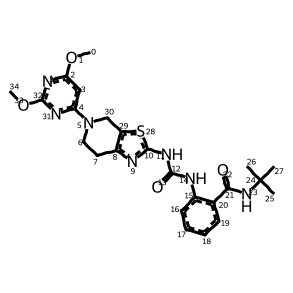 COc1cc(N2CCc3nc(NC(=O)Nc4ccccc4C(=O)NC(C)(C)C)sc3C2)nc(OC)n1